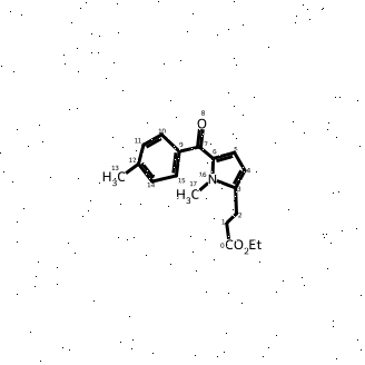 CCOC(=O)CCc1ccc(C(=O)c2ccc(C)cc2)n1C